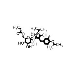 COC(=O)OC[C@H]1O[C@@](O)(Oc2nn(C(C)C)c(C)c2Cc2ccc(OC(C)C)c(F)c2)[C@H](O)[C@@H](O)[C@@H]1O